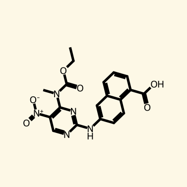 CCOC(=O)N(C)c1nc(Nc2ccc3c(C(=O)O)cccc3c2)ncc1[N+](=O)[O-]